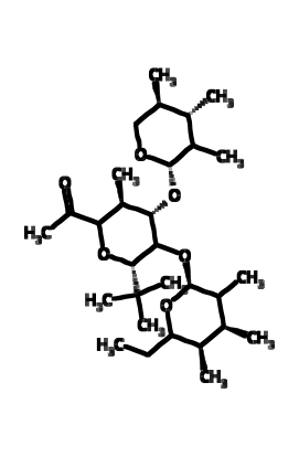 CCC1O[C@@H](OC2[C@@H](O[C@@H]3OC[C@@H](C)[C@H](C)C3C)[C@H](C)C(C(C)=O)O[C@H]2C(C)(C)C)C(C)[C@@H](C)[C@H]1C